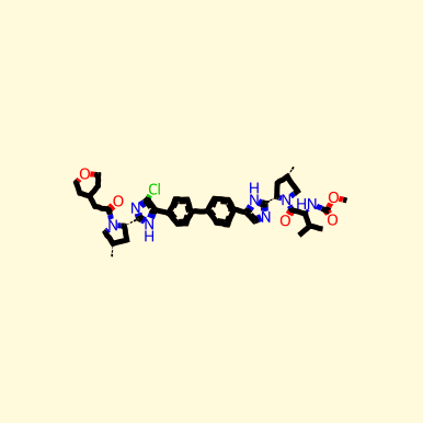 COC(=O)N[C@H](C(=O)N1C[C@@H](C)C[C@H]1c1ncc(-c2ccc(-c3ccc(-c4[nH]c([C@@H]5C[C@H](C)CN5C(=O)CC5CCOCC5)nc4Cl)cc3)cc2)[nH]1)C(C)C